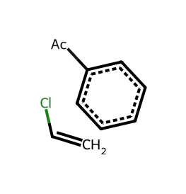 C=CCl.CC(=O)c1ccccc1